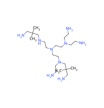 CC(C)(CN)CNCCN(CCN(CCN)CCN)CCN(CCN)CC(C)(C)CN